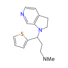 CNCCC(c1cccs1)N1CCc2ccncc21